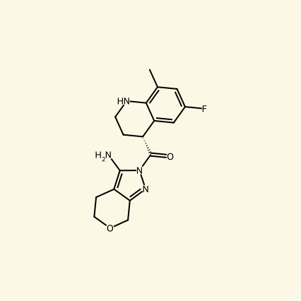 Cc1cc(F)cc2c1NCC[C@H]2C(=O)n1nc2c(c1N)CCOC2